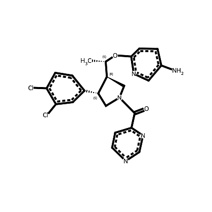 C[C@H](Oc1ccc(N)cn1)[C@H]1CN(C(=O)c2ccncn2)C[C@@H]1c1ccc(Cl)c(Cl)c1